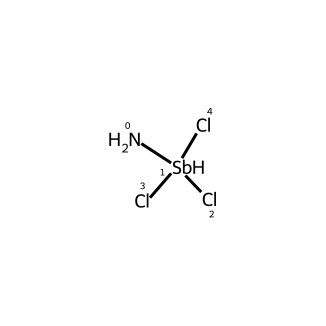 [NH2][SbH]([Cl])([Cl])[Cl]